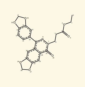 CCOC(=O)CCn1nc(-c2ccc3c(c2)OCO3)c2cc3c(cc2c1=O)OCO3